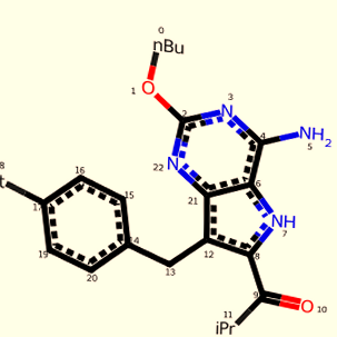 CCCCOc1nc(N)c2[nH]c(C(=O)C(C)C)c(Cc3ccc(CC)cc3)c2n1